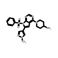 Cn1cc(-c2cc3c(N4CCC(N)CC4)ncnc3n2S(=O)(=O)c2ccccc2)cn1